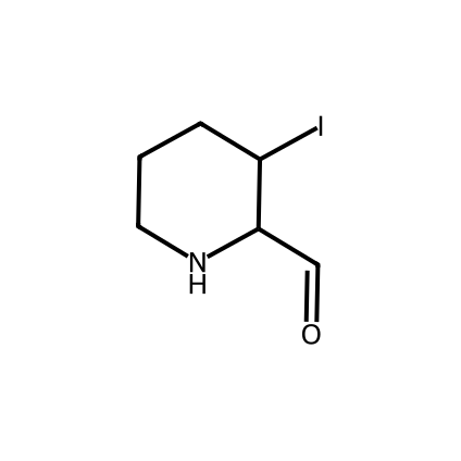 O=CC1NCCCC1I